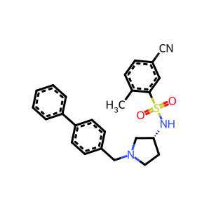 Cc1ccc(C#N)cc1S(=O)(=O)N[C@@H]1CCN(Cc2ccc(-c3ccccc3)cc2)C1